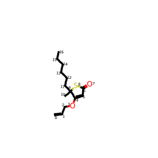 C=CCOC1=CC(=O)SC1(C)CCCCCC